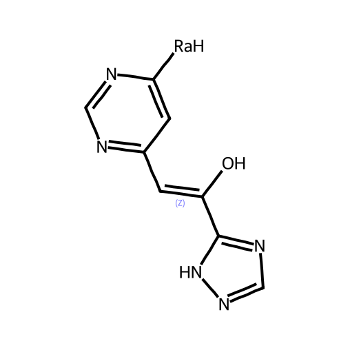 O/C(=C\c1c[c]([RaH])ncn1)c1ncn[nH]1